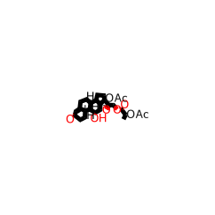 CC(=O)OC(C)C(=O)OCC(=O)[C@@]1(OC(C)=O)CC[C@H]2[C@@H]3CCC4=CC(=O)CC[C@]4(C)[C@H]3[C@@H](O)C[C@@]21C